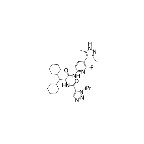 Cc1n[nH]c(C)c1-c1ccc(NC(=O)[C@@H](NC(=O)c2cnnn2C(C)C)C(C2CCCCC2)C2CCCCC2)nc1F